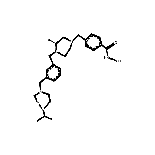 CC(C)N1CCN(Cc2cccc(CN3CCN(Cc4ccc(C(=O)NO)cc4)C[C@@H]3C)c2)CC1